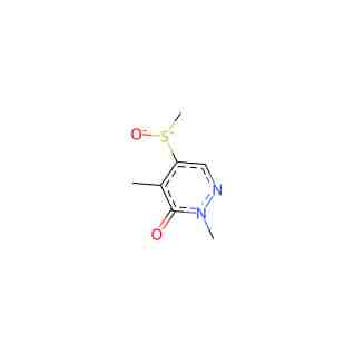 Cc1c([S+](C)[O-])cnn(C)c1=O